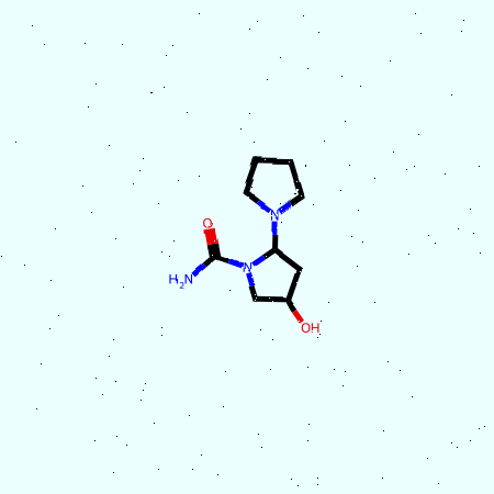 NC(=O)N1CC(O)CC1N1CCCC1